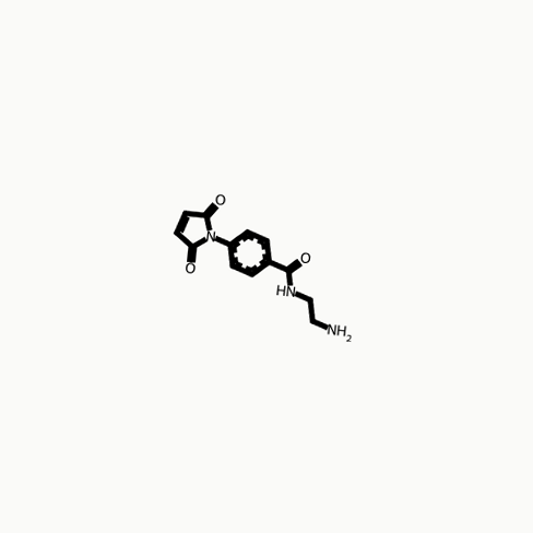 NCCNC(=O)c1ccc(N2C(=O)C=CC2=O)cc1